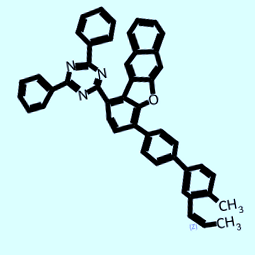 C/C=C\c1cc(-c2ccc(-c3ccc(-c4nc(-c5ccccc5)nc(-c5ccccc5)n4)c4c3oc3cc5ccccc5cc34)cc2)ccc1C